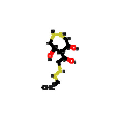 O=[C]CSSC[C](=O)[Ni]1[C](=O)CSSC[C]1=O